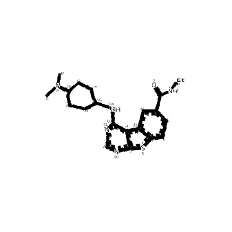 CCNC(=O)c1ccc2sc3ncnc(NC4CCC(N(C)C)CC4)c3c2c1